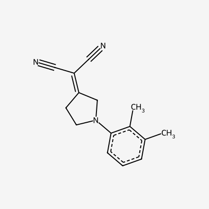 Cc1cccc(N2CCC(=C(C#N)C#N)C2)c1C